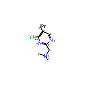 CC(C)c1cnc(CN(C)C)nc1Cl